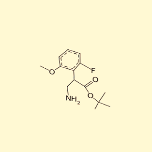 COc1cccc(F)c1C(CN)C(=O)OC(C)(C)C